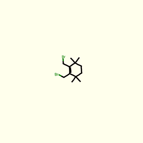 CC1(C)CCC(C)(C)C(CBr)=C1CBr